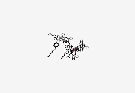 CCCCCCc1ccc(C(=O)N[C@H](COCCCC)C(=O)N[C@H](C)C(=O)NCC(=O)N(C)[C@H](C(=O)N[C@@H](C)C(=O)N[C@@H](CC(C)C)C(=O)NCB2O[C@@H]3C[C@@H]4C[C@@H](C4(C)C)[C@]3(C)O2)C(C)OCCCC)cc1